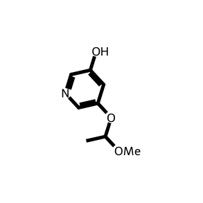 COC(C)Oc1cncc(O)c1